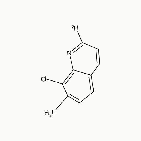 [2H]c1ccc2ccc(C)c(Cl)c2n1